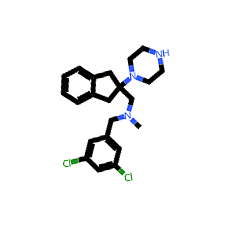 CN(Cc1cc(Cl)cc(Cl)c1)CC1(N2CCNCC2)Cc2ccccc2C1